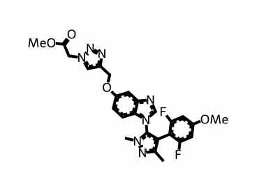 COC(=O)Cn1cc(COc2ccc3c(c2)ncn3-c2c(-c3c(F)cc(OC)cc3F)c(C)nn2C)nn1